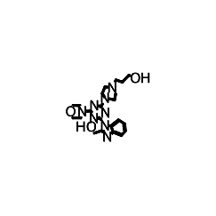 OCCCN1CCN(c2nc(N3CCOCC3)nc(-n3c(CO)nc4ccccc43)n2)CC1